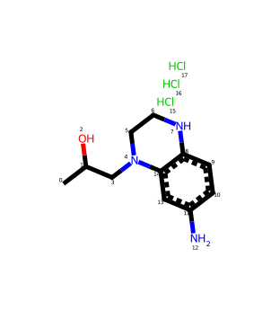 CC(O)CN1CCNc2ccc(N)cc21.Cl.Cl.Cl